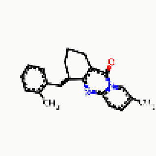 Cc1ccc2nc3c(c(=O)n2c1)CCCC3=Cc1ccccc1C